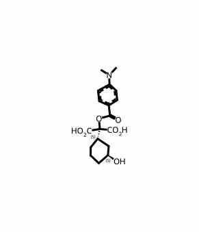 CN(C)c1ccc(C(=O)OC(C(=O)O)(C(=O)O)[C@H]2CCC[C@H](O)C2)cc1